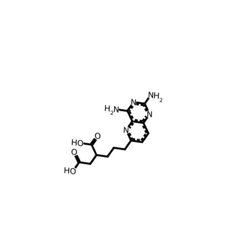 Nc1nc(N)c2nc(CCCC(CC(=O)O)C(=O)O)ccc2n1